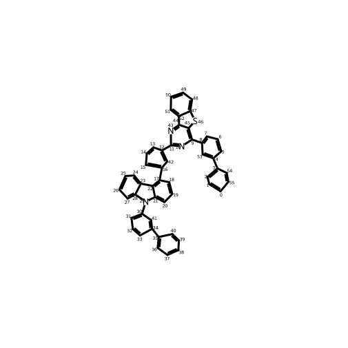 c1ccc(-c2cccc(-c3nc(-c4cccc(-c5cccc6c5c5ccccc5n6-c5cccc(-c6ccccc6)c5)c4)nc4c3sc3ccccc34)c2)cc1